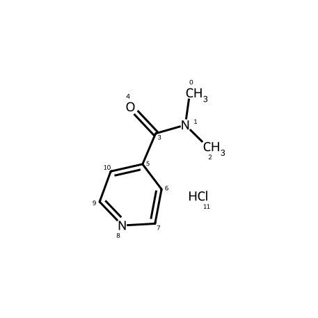 CN(C)C(=O)c1ccncc1.Cl